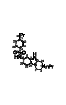 CCCN1CCc2c([nH]c3cc(NS(=O)(=O)c4ccc(C(C)C)cc4)ccc23)C1